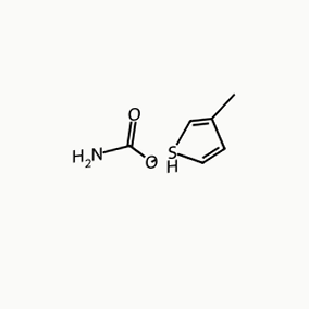 CC1=C[SH](OC(N)=O)C=C1